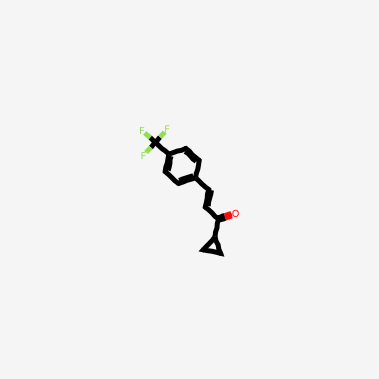 O=C(C=Cc1ccc(C(F)(F)F)cc1)C1CC1